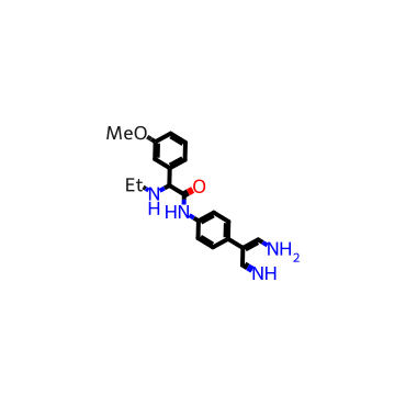 CCNC(C(=O)Nc1ccc(/C(C=N)=C/N)cc1)c1cccc(OC)c1